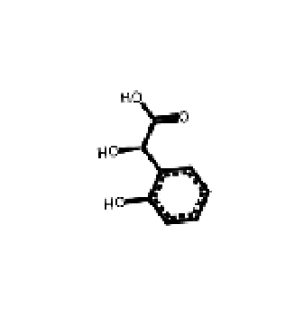 O=C(O)[C@H](O)c1ccccc1O